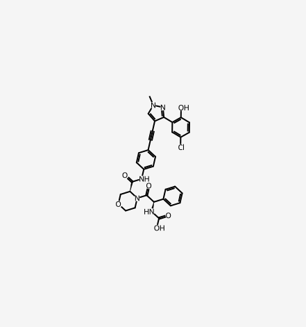 Cn1cc(C#Cc2ccc(NC(=O)[C@@H]3COCCN3C(=O)[C@H](NC(=O)O)c3ccccc3)cc2)c(-c2cc(Cl)ccc2O)n1